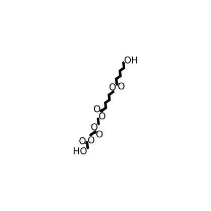 O=C(CO)OCC(=O)OCCOC(=O)CCCCCOC(=O)CCCCCO